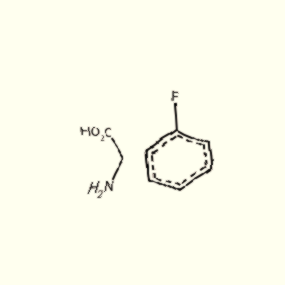 Fc1ccccc1.NCC(=O)O